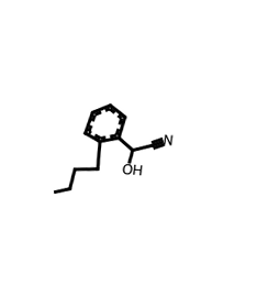 CCCCc1ccccc1C(O)C#N